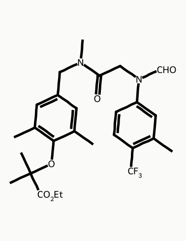 CCOC(=O)C(C)(C)Oc1c(C)cc(CN(C)C(=O)CN(C=O)c2ccc(C(F)(F)F)c(C)c2)cc1C